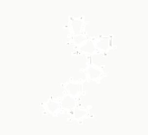 c1cc(-c2ccc3c4ccccc4c4ccccc4c3c2)cc(-c2nc3sc4ccccc4c3c3ccccc23)c1